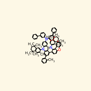 Cc1ccccc1-c1cc2c3c(c1)N(c1cc4c(cc1C)C(C)(C)CCC4(C)C)c1ccc(N(c4cccc(-c5ccccc5)c4)c4cccc(-c5ccccc5)c4)cc1B3N(c1ccc3c(c1)C(C)(C)CCC3(C)C)c1c-2ccc2oc3ccccc3c12